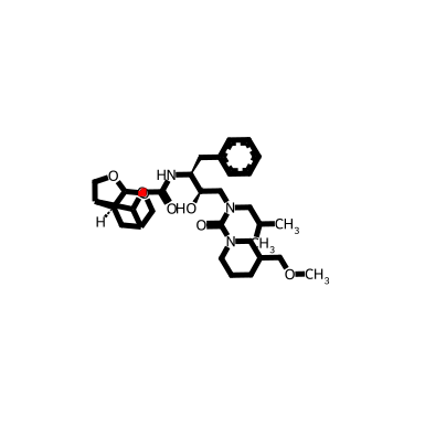 COCC1CCCN(C(=O)N(CC(C)C)C[C@@H](O)[C@H](Cc2ccccc2)NC(=O)OC2C3COC4OCC2[C@@H]4C3)C1